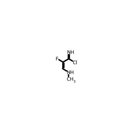 CN/C=C(/F)C(=N)Cl